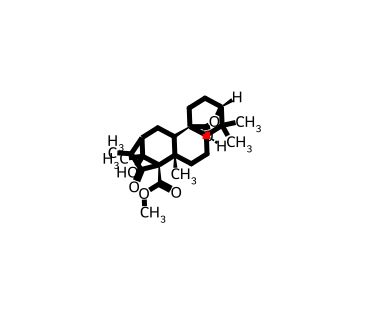 COC(=O)[C@]12C(=O)C(C)C(CC3[C@]1(C)CC[C@@H]1C(C)(C)[C@H]4CC[C@@]31C(=O)O4)C2(C)O